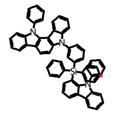 c1ccc(-n2c3ccccc3c3cccc([Si](c4ccccc4)(c4ccccc4)c4cccc(-n5c6ccccc6c6c5ccc5c7ccccc7n(-c7ccccc7)c56)c4)c32)cc1